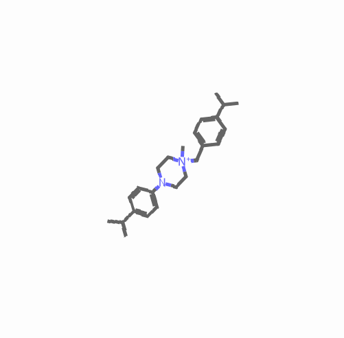 CC(C)c1ccc(C[N+]2(C)CCN(c3ccc(C(C)C)cc3)CC2)cc1